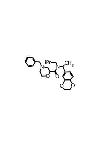 CC(C)CN(C(=O)C1CN(Cc2ccccc2)CCO1)C(C)c1ccc2c(c1)OCCO2